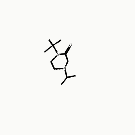 CC(C)N1CCN(C(C)(C)C)C(=O)C1